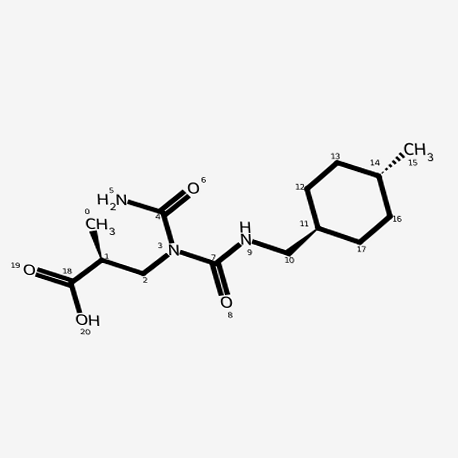 C[C@@H](CN(C(N)=O)C(=O)NC[C@H]1CC[C@H](C)CC1)C(=O)O